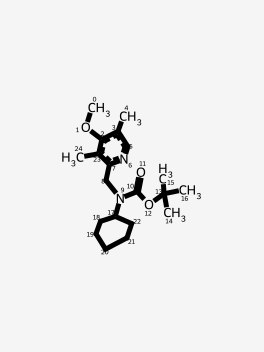 COc1c(C)cnc(CN(C(=O)OC(C)(C)C)C2CCCCC2)c1C